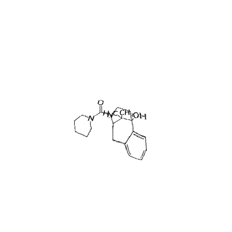 CC1(C)C2Cc3ccccc3C1(O)CCN2C(=O)N1CCCCC1